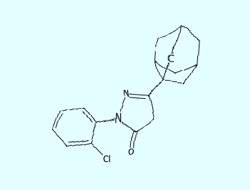 O=C1CC(C23CC4CC(CC2C4)C3)=NN1c1ccccc1Cl